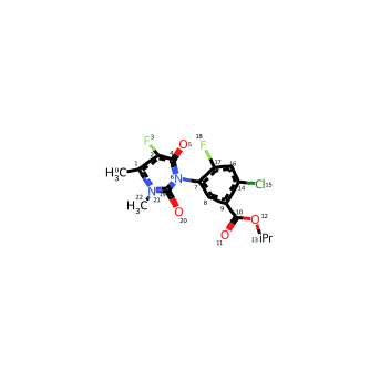 Cc1c(F)c(=O)n(-c2cc(C(=O)OC(C)C)c(Cl)cc2F)c(=O)n1C